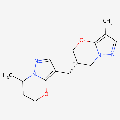 Cc1cnn2c1OC[C@@H](Cc1cnn3c1OCCC3C)C2